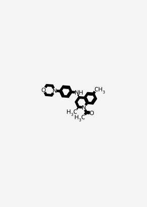 CC(=O)N1c2ccc(C)cc2[C@H](Nc2ccc(N3CCOCC3)cc2)C[C@@H]1C